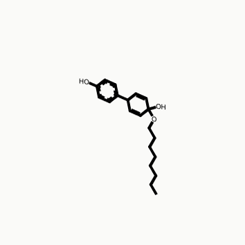 CCCCCCCCOC1(O)C=CC(c2ccc(O)cc2)C=C1